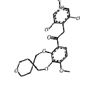 COc1ccc(C(=O)Cc2c(Cl)c[n+]([O-])cc2Cl)c2c1OCC1(CCOCC1)CO2